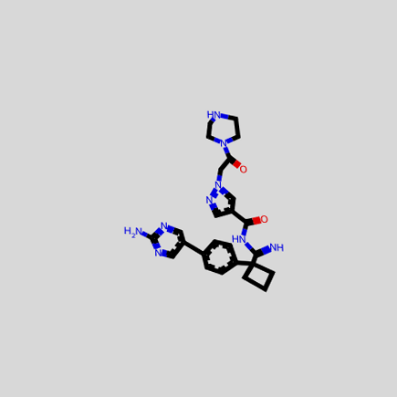 N=C(NC(=O)c1cnn(CC(=O)N2CCNCC2)c1)C1(c2ccc(-c3cnc(N)nc3)cc2)CCC1